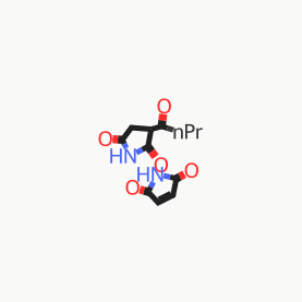 CCCC(=O)C1CC(=O)NC1=O.O=C1C=CC(=O)N1